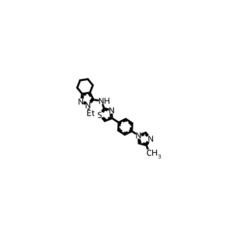 CCn1nc2c(c1Nc1nc(-c3ccc(-n4cnc(C)c4)cc3)cs1)CCCC2